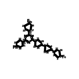 Fc1ccc(-c2ccc(-c3ccc(-c4nc(-c5ccc(F)cc5)nc(-c5ccc(F)cc5)n4)cc3)cc2)cc1